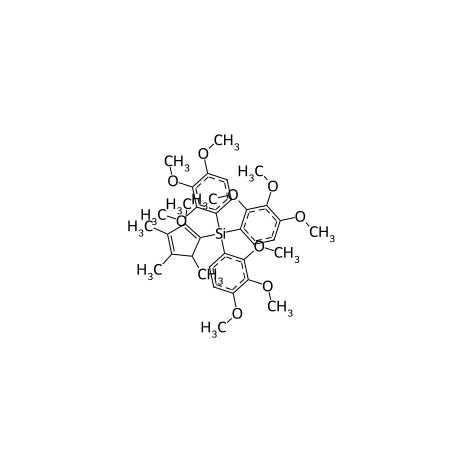 COc1ccc([Si](C2=C(C)C(C)=C(C)C2C)(c2ccc(OC)c(OC)c2OC)c2ccc(OC)c(OC)c2OC)c(OC)c1OC